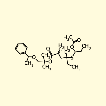 C=C(CC(C)(CC)SC(CC)OC(C)=O)C(=O)OC(C)(C)COC(C)c1ccccc1